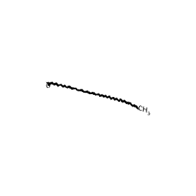 CCCCCCCCCCCCCCCCCCCCCCCCCCCCCCCCCCCCCCCC1CO1